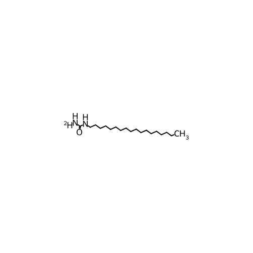 [2H]NC(=O)NCCCCCCCCCCCCCCCCCC